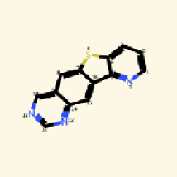 c1cnc2c(c1)sc1cc3cncnc3cc12